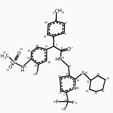 Cc1ccc(C(C(=O)NCc2ccc(C(F)(F)F)nc2SC2CCCCC2)c2ccc(NS(C)(=O)=O)c(F)c2)cc1